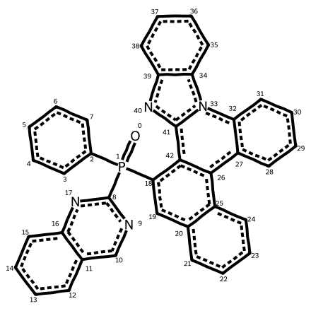 O=P(c1ccccc1)(c1ncc2ccccc2n1)c1cc2ccccc2c2c3ccccc3n3c4ccccc4nc3c12